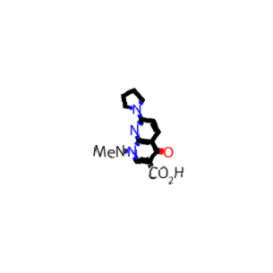 CNn1cc(C(=O)O)c(=O)c2ccc(N3CCCC3)nc21